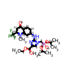 CCOC(=O)c1cn(CP(=O)(OC(C)C)OC(C)C)c(Nc2ccc3c(=O)cc(C(F)(F)F)n(C)c3c2)n1